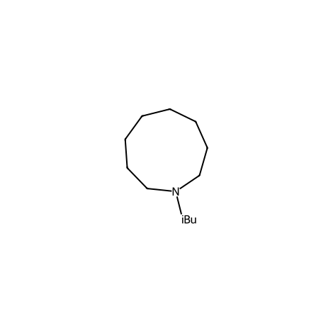 CCC(C)N1CCCCCCCC1